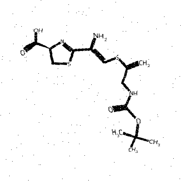 C=C(CNC(=O)OC(C)(C)C)S/C=C(\N)C1=N[C@H](C(=O)O)CS1